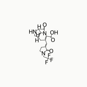 O=C(O)C1=C(/C=C2\CCN(CC(F)(F)F)C2=O)C[C@@H]2CN[C@@H]3C(=O)N1[C@H]23